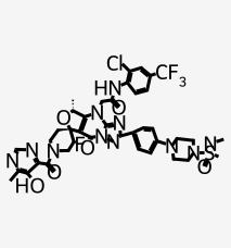 CN=S(C)(=O)N1CCN(c2ccc(-c3nc4n(CC(=O)Nc5ccc(C(F)(F)F)cc5Cl)c5c(c(=O)n4n3)[C@@]3(CCN(C(=O)c4ncnc(C)c4O)C[C@@H]3F)O[C@@H]5C)cc2)CC1